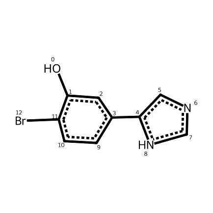 Oc1cc(-c2cnc[nH]2)ccc1Br